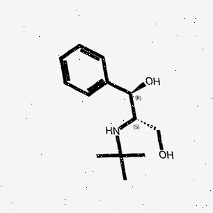 CC(C)(C)N[C@@H](CO)[C@H](O)c1ccccc1